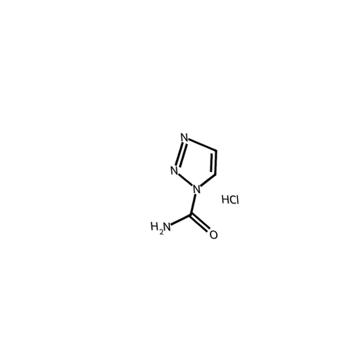 Cl.NC(=O)n1ccnn1